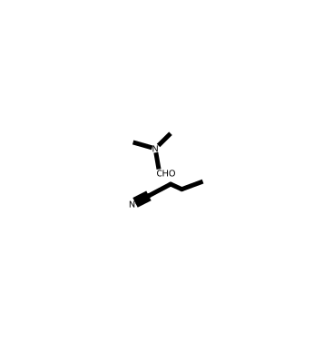 CCCC#N.CN(C)C=O